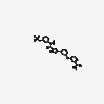 CNC(=O)c1cc(Oc2cccc(-c3c[nH]c(C(=O)N(OC)c4cccc(CC(F)(F)F)c4)c3)c2)ccn1